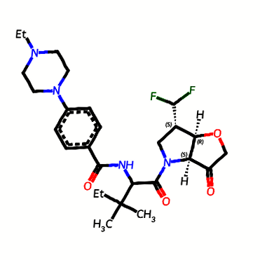 CCN1CCN(c2ccc(C(=O)NC(C(=O)N3C[C@H](C(F)F)[C@H]4OCC(=O)[C@H]43)C(C)(C)CC)cc2)CC1